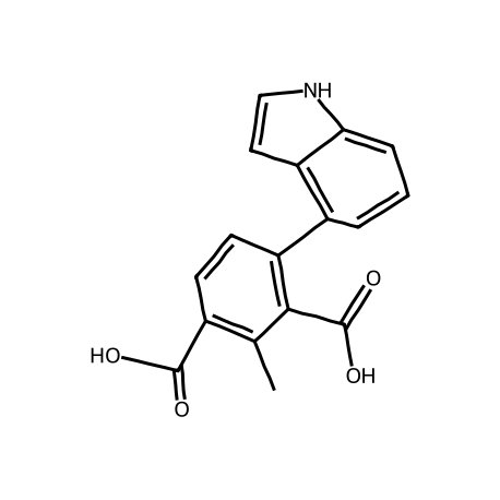 Cc1c(C(=O)O)ccc(-c2cccc3[nH]ccc23)c1C(=O)O